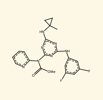 COC(=O)N(c1ccccn1)c1nc(Nc2cc(F)cc(F)c2)nc(NC2(C)CC2)n1